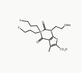 COCCN1C(=O)[N+](CCCF)(CCCF)C(=O)c2c1sc(C(=O)O)c2C